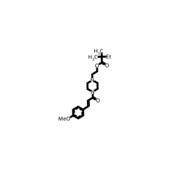 CCC(C)(C)C(=O)OCCN1CCN(C(=O)/C=C/c2ccc(OC)cc2)CC1